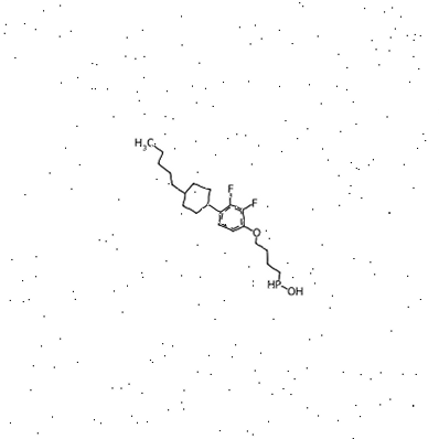 CCCCCC1CCC(c2ccc(OCCCCPO)c(F)c2F)CC1